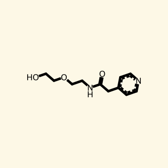 O=C(Cc1ccncc1)NCCOCCO